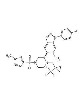 Cc1cc2c(cnn2-c2ccc(F)cc2)cc1[C@@H]1CN(S(=O)(=O)c2cnn(C)n2)CCN1CC1(C(F)(F)F)CC1